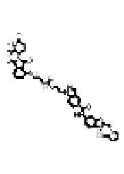 CC1CCCN1Cc1nc2cc(NC(=O)c3ccc4c(cnn4CCNC(=O)CCCNc4cccc5c4C(=O)N(C4CCC(=O)NC4=O)C5=O)c3)ccc2[nH]1